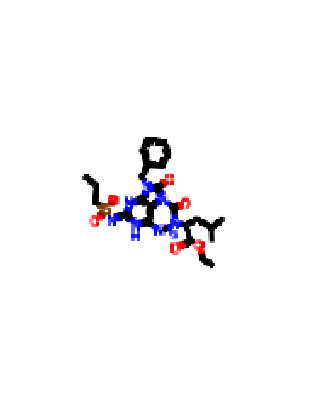 CCCS(=O)(=O)N=c1nc2c(c(N)[nH]1)n(C(=O)N(C)C(CC(C)C)C(=O)OCC)c(=O)n2Cc1ccccc1